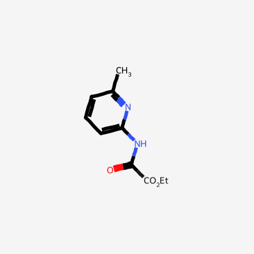 CCOC(=O)C(=O)Nc1cccc(C)n1